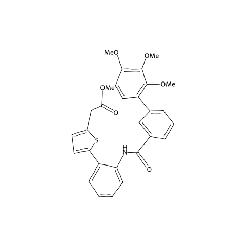 COC(=O)Cc1ccc(-c2ccccc2NC(=O)c2cccc(-c3ccc(OC)c(OC)c3OC)c2)s1